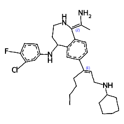 CCCC/C(=C\CNC1CCCCC1)c1ccc2c(c1)C(Nc1ccc(F)c(Cl)c1)CCN/C2=C(/C)N